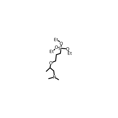 CCO[Si](CCCOC(C)CN(C)C)(OCC)OCC